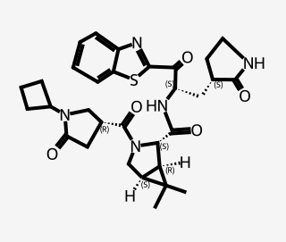 CC1(C)[C@@H]2[C@@H](C(=O)N[C@@H](C[C@@H]3CCNC3=O)C(=O)c3nc4ccccc4s3)N(C(=O)[C@@H]3CC(=O)N(C4CCC4)C3)C[C@@H]21